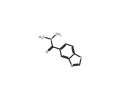 CN(C)C(=O)c1ccc2scnc2c1